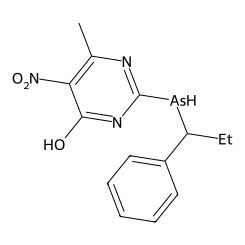 CCC([AsH]c1nc(C)c([N+](=O)[O-])c(O)n1)c1ccccc1